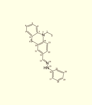 CCN1c2ccccc2Sc2cc(/C=N/Nc3ccccc3)ccc21